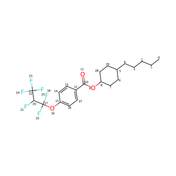 CCCCCC1CCC(OC(=O)c2ccc(OC(F)(F)C(F)C(F)(F)F)cc2)CC1